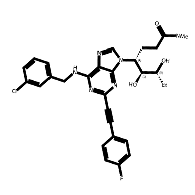 CC[C@@H](O)[C@@H](O)[C@@H](CCC(=O)NC)n1cnc2c(NCc3cccc(Cl)c3)nc(C#Cc3ccc(F)cc3)nc21